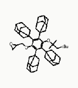 CC(C)(C)CC(C)(C)Oc1c(C23CC4CC(CC(C4)C2)C3)c(C23CC4CC(CC(C4)C2)C3)c(OCC2CO2)c(C23CC4CC(CC(C4)C2)C3)c1C12CC3CC(CC(C3)C1)C2